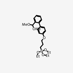 CCO[Si](CCCOc1ccc(-c2ccccc2[C](OC)OC)cc1)(OCC)OCC